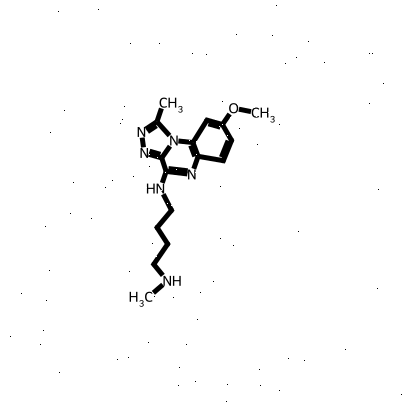 CNCCCCNc1nc2ccc(OC)cc2n2c(C)nnc12